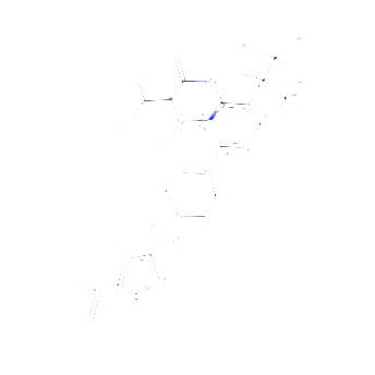 CC(C)C1C(=O)NCCN1C[C@H]1CN(S(=O)(=O)c2ccc([N+](=O)[O-])s2)CCN1c1ncc(C(O)(C(F)(F)F)C(F)(F)F)cn1